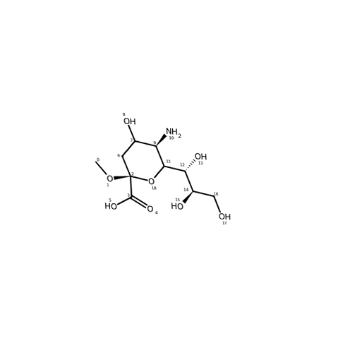 CO[C@@]1(C(=O)O)CC(O)[C@@H](N)C([C@H](O)[C@H](O)CO)O1